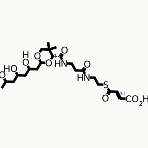 CC(O)CC(O)CC(O)CC1OCC(C)(C)[C@H](C(=O)NCCC(=O)NCCSC(=O)/C=C/C(=O)O)O1